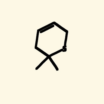 CC1(C)CC=CCS1